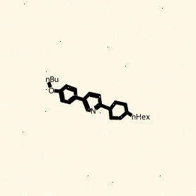 CCCCCCC1CCC(c2ccc(-c3ccc(OCCCC)cc3)cn2)CC1